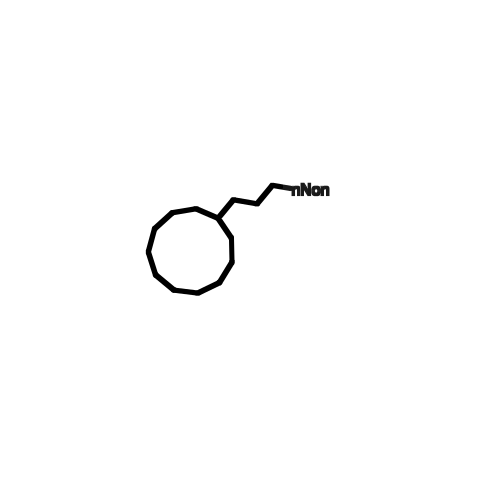 CCCCCCCCCCCCC1CCCCCCCCCC1